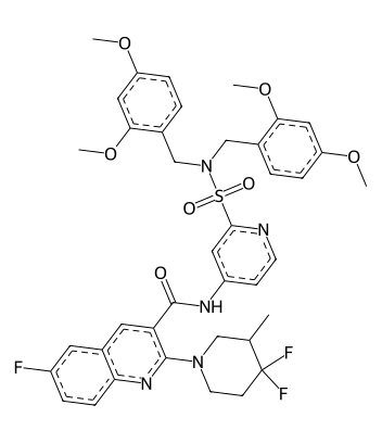 COc1ccc(CN(Cc2ccc(OC)cc2OC)S(=O)(=O)c2cc(NC(=O)c3cc4cc(F)ccc4nc3N3CCC(F)(F)C(C)C3)ccn2)c(OC)c1